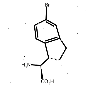 N[C@H](C(=O)O)[C@H]1CCc2cc(Br)ccc21